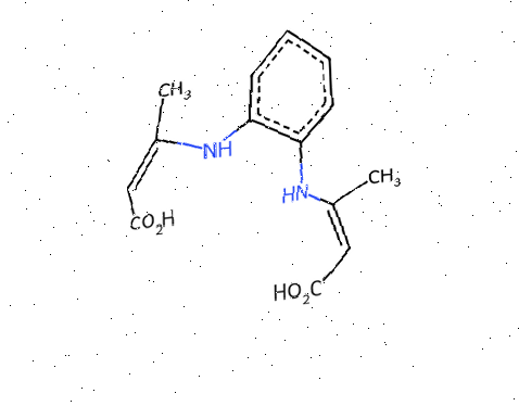 C/C(=C/C(=O)O)Nc1ccccc1N/C(C)=C\C(=O)O